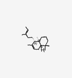 CC=C(C)CC[C@H]1C(C)=CC[C@H]2C(C)(C)CCC[C@]12C